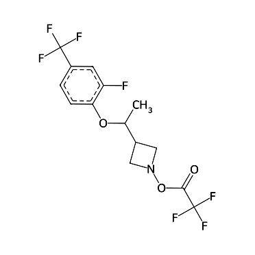 CC(Oc1ccc(C(F)(F)F)cc1F)C1CN(OC(=O)C(F)(F)F)C1